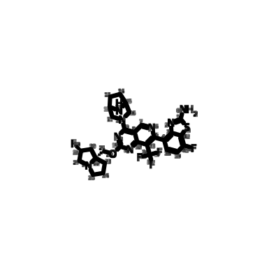 Nc1nc2c(-c3ncc4c(N5CC6CCC(C5)N6)nc(OC[C@]56CCCN5C[C@@H](F)C6)nc4c3C(F)(F)F)ccc(F)c2s1